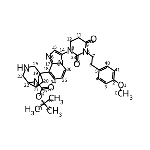 COc1ccc(CCN2C(=O)CCN(c3cnc4c(C56CCC(CNC5)N6C(=O)OC(C)(C)C)cccn34)C2=O)cc1